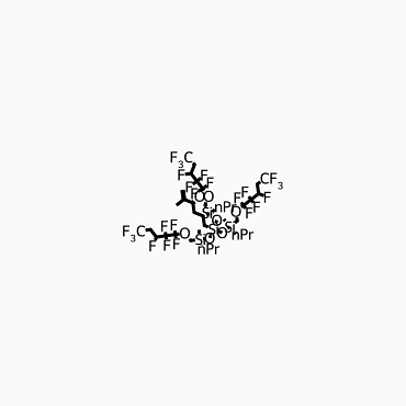 C=C(C)C(=O)CCC[Si](O[Si](C)(CCC)COC(F)(F)C(F)(F)C(F)CC(F)(F)F)(O[Si](C)(CCC)COC(F)(F)C(F)(F)C(F)CC(F)(F)F)O[Si](C)(CCC)COC(F)(F)C(F)(F)C(F)CC(F)(F)F